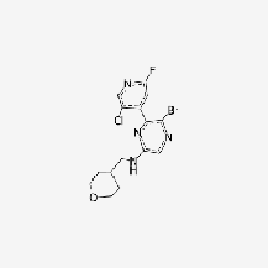 Fc1cc(-c2nc(NCC3CCOCC3)cnc2Br)c(Cl)cn1